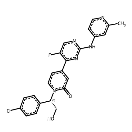 Cc1cc(Nc2ncc(F)c(-c3ccn([C@H](CO)c4ccc(Cl)cc4)c(=O)c3)n2)ccn1